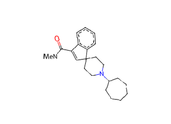 CNC(=O)C1=CC2(CCN(C3CCCCCC3)CC2)c2ccccc21